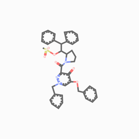 CS(=O)(=O)OC(C(c1ccccc1)c1ccccc1)C1CCCN1C(=O)c1nn(Cc2ccccc2)cc(OCc2ccccc2)c1=O